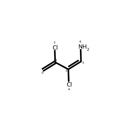 C=C(Cl)/C(Cl)=C\N